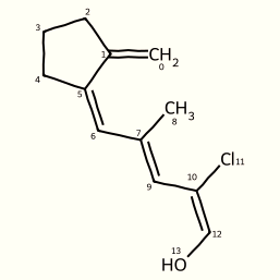 C=C1CCC/C1=C/C(C)=C/C(Cl)=C\O